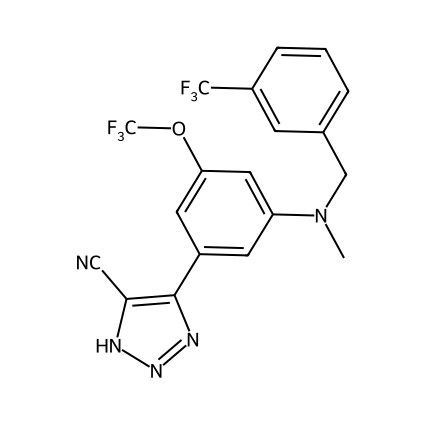 CN(Cc1cccc(C(F)(F)F)c1)c1cc(OC(F)(F)F)cc(-c2nn[nH]c2C#N)c1